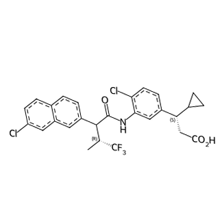 C[C@H](C(C(=O)Nc1cc([C@@H](CC(=O)O)C2CC2)ccc1Cl)c1ccc2ccc(Cl)cc2c1)C(F)(F)F